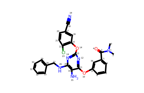 CN(C)C(=O)c1cccc(Oc2nc(Oc3cc(C#N)ccc3Cl)nc(NCc3ccccc3)c2N)c1